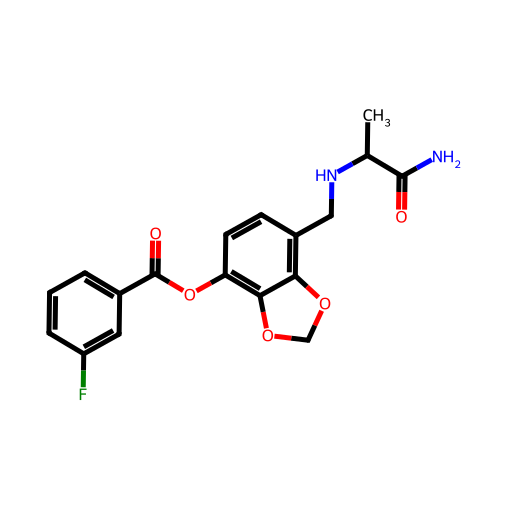 CC(NCc1ccc(OC(=O)c2cccc(F)c2)c2c1OCO2)C(N)=O